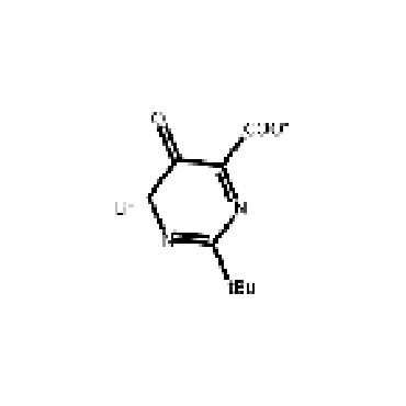 CC(C)(C)C1=NCC(=O)C(C(=O)[O-])=N1.[Li+]